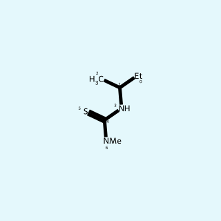 CCC(C)NC(=S)NC